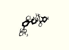 COC(=O)c1ccc(Cl)c(-c2ccc(NC(=O)c3ccncc3F)nc2)c1